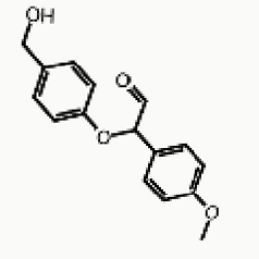 COc1ccc(C(C=O)Oc2ccc(CO)cc2)cc1